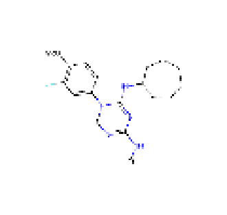 CCNC1=NCN(c2ccc(OC)c(F)c2)C(NC2CCCCCC2)=N1